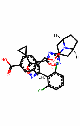 Cc1cc(C(=O)O)ccc1-c1nc(N2[C@@H]3CC[C@H]2C[C@@H](OCc2c(-c4c(Cl)cccc4Cl)noc2C2CC2)C3)no1